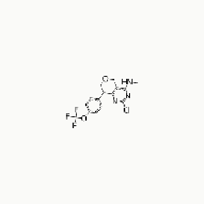 CNc1nc(Cl)nc2c1COCC2c1ccc(OC(F)(F)F)cc1